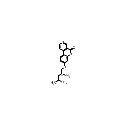 CC(C)C[C@H](N)COc1ccc2c(c1)oc(=O)c1cnccc12